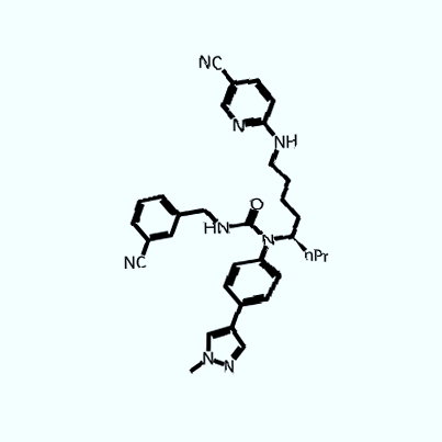 CCC[C@H](CCCCNc1ccc(C#N)cn1)N(C(=O)NCc1cccc(C#N)c1)c1ccc(-c2cnn(C)c2)cc1